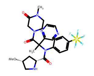 CO[C@H]1CN[C@@H](C(=O)N(c2ccc(S(F)(F)(F)(F)F)cc2)C(C)(C(=O)N2CCN(C)C(=O)C2)c2cnccn2)C1